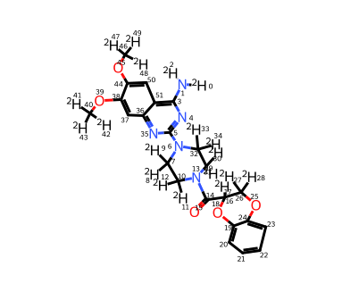 [2H]N([2H])c1nc(N2C([2H])([2H])C([2H])([2H])N(C(=O)C3([2H])Oc4ccccc4OC3([2H])[2H])C([2H])([2H])C2([2H])[2H])nc2cc(OC([2H])([2H])[2H])c(OC([2H])([2H])[2H])cc12